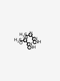 CC(=O)c1cncc(-c2cnc3c(c2)CCCN3)c1.CC(=O)c1cncc(-c2cnc3c(c2)CCCN3)c1